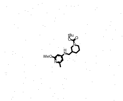 COc1cc(NCC2CCCN(C(=O)OC(C)(C)C)C2)cc(C)n1